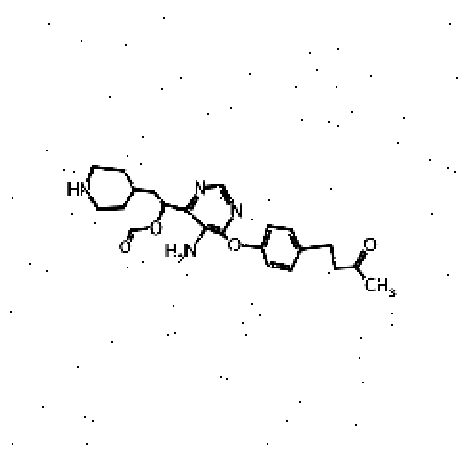 CC(=O)CCc1ccc(Oc2ncnc(C(CC3CCNCC3)OC=O)c2N)cc1